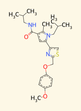 COc1ccc(OCc2nc(-c3cc(C(=O)NCC(C)C)c(C)n3CC(C)C)cs2)cc1